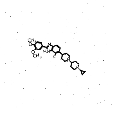 COc1ccc(-c2nc3ccc(C4CCN(C5CCN(C6CC6)CC5)CC4)c(F)c3[nH]2)cc1OC